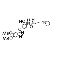 COc1cc2ncnc(Oc3ccc(NC(=O)NCCCCN4CCCCC4)c([N+](=O)[O-])c3)c2cc1OC